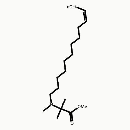 CCCCCCCC/C=C\CCCCCCCCCN(C)C(C)(C)C(=O)OC